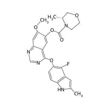 COc1cc2ncnc(Oc3ccc4[nH]c(C)cc4c3F)c2cc1OC(=O)N1CCOC[C@H]1C